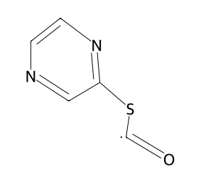 O=[C]Sc1cnccn1